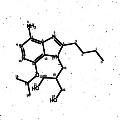 CCCCc1nc2c(N)nnc(OC(C)C)c2n1CC(CO)CO